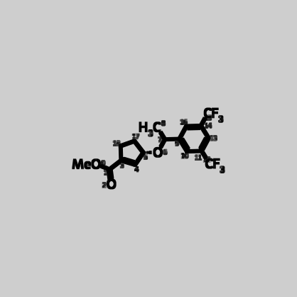 COC(=O)C1=C[C@@H](OC(C)c2cc(C(F)(F)F)cc(C(F)(F)F)c2)CC1